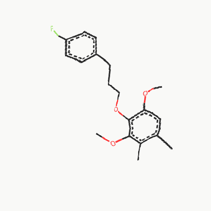 COc1cc(C)c(C)c(OC)c1OCCCc1ccc(F)cc1